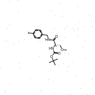 COC[C@H](NC(=O)OC(C)(C)C)C(=O)NCc1ccc(I)cc1